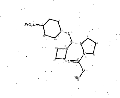 CCOC(=O)[C@H]1CC[C@H](OC([C@@H]2CCCN2C(=O)OC(C)(C)C)N2CCC2)CC1